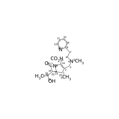 C[C@H]1C(CN(C)CCc2ccccn2)=C(C(=O)O)N2C(=O)[C@H]([C@@H](C)O)C12